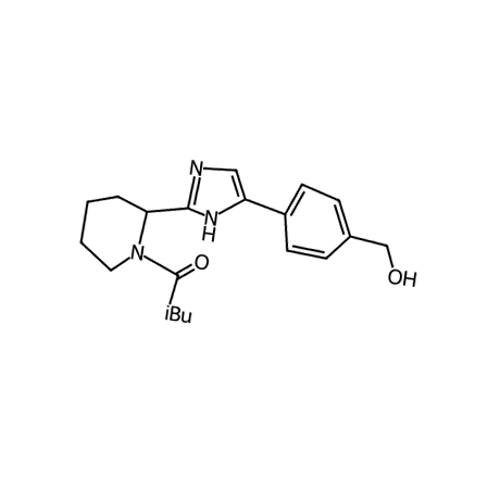 CCC(C)C(=O)N1CCCCC1c1ncc(-c2ccc(CO)cc2)[nH]1